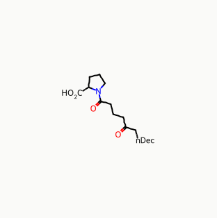 CCCCCCCCCCCC(=O)CCCC(=O)N1CCCC1C(=O)O